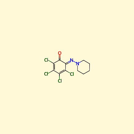 O=C1C(=NN2CCCCC2)C(Cl)=C(Cl)C(Cl)=C1Cl